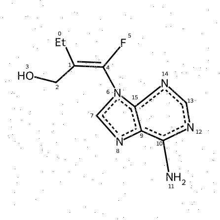 CCC(CO)=C(F)n1cnc2c(N)ncnc21